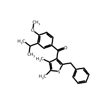 COc1ccc(C(=O)c2c(Cc3ccccc3)sc(C)c2C)cc1C(C)C